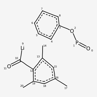 O=POc1ccccc1.[Li][C](=O)c1c(C)cc(C)cc1C